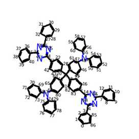 c1ccc(-c2nc(-c3ccccc3)nc(-c3ccc(C(c4ccc(-c5nc(-c6ccccc6)nc(-c6ccccc6)n5)cc4)(c4ccc(N(c5ccccc5)c5ccccc5)cc4)c4ccc(N(c5ccccc5)c5ccccc5)cc4)cc3)n2)cc1